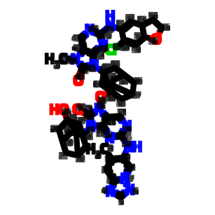 Cc1cc2ncnn2cc1Nc1ncc2c(n1)n(C13CC4CC(CC(O)(C4)C1)C3)c(=O)n2OC12CC3CC(C1)CC(n1c(=O)n(C)c4cnc(NC5=CC6CCOC6C=C5Cl)nc41)(C3)C2